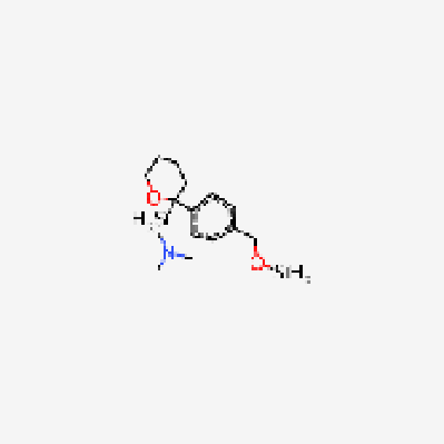 CN(C)C.[SiH3]OCc1ccc(C2([SiH3])CCCCO2)cc1